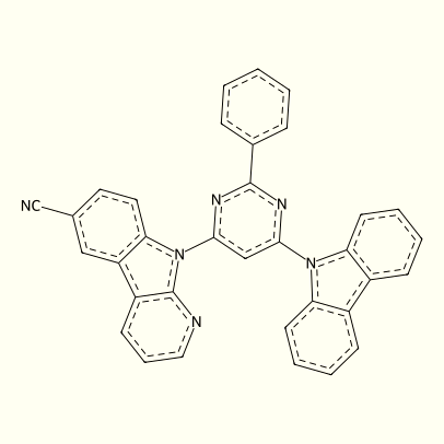 N#Cc1ccc2c(c1)c1cccnc1n2-c1cc(-n2c3ccccc3c3ccccc32)nc(-c2ccccc2)n1